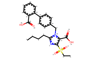 CCCCc1nc(S(=O)(=O)CC)c(C(=O)O)n1Cc1ccc(-c2ccccc2C(=O)O)cc1